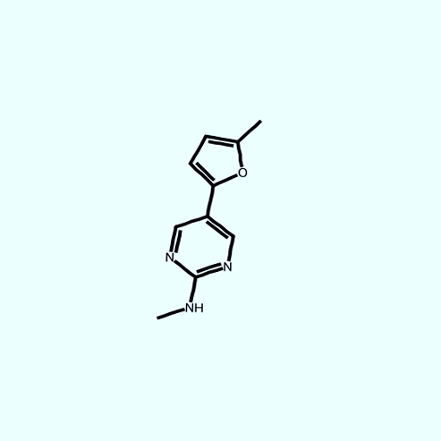 CNc1ncc(-c2ccc(C)o2)cn1